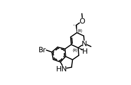 CO[CH][C@@H]1C=C2c3cc(Br)cc4c3C(CN4)C[C@H]2N(C)C1